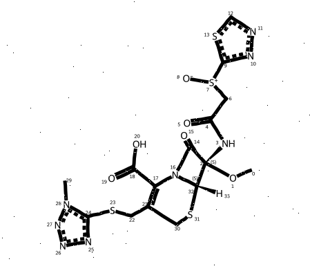 CO[C@@]1(NC(=O)C[S+]([O-])c2nncs2)C(=O)N2C(C(=O)O)=C(CSc3nnnn3C)CS[C@H]21